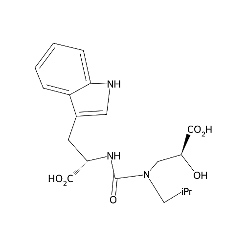 CC(C)CN(C[C@H](O)C(=O)O)C(=O)N[C@@H](Cc1c[nH]c2ccccc12)C(=O)O